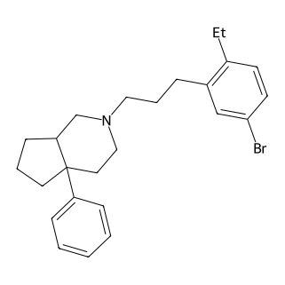 CCc1ccc(Br)cc1CCCN1CCC2(c3ccccc3)CCCC2C1